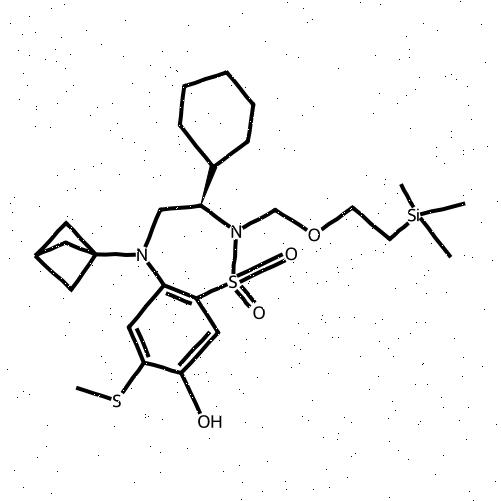 CSc1cc2c(cc1O)S(=O)(=O)N(COCC[Si](C)(C)C)[C@H](C1CCCCC1)CN2C12CC(C1)C2